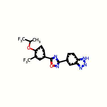 CC(Oc1ccc(-c2nc(-c3ccc4[nH]nnc4c3)no2)cc1C(F)(F)F)C(F)(F)F